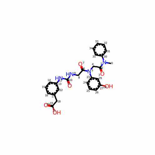 CN(C(=O)CN(C(=O)CNC(=O)Nc1cccc(CC(=O)O)c1)c1cccc(O)c1)c1ccccc1